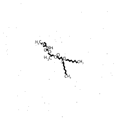 [CH2]C(COC(=O)CCC(OCCCCCCCC)OCCCCCCCC)COC(=O)NC1CCN(CC)C1